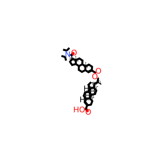 CC(C)N(C(=O)[C@@H]1CCC2C3CCC4C=C(C(=O)OC[C@@H](C)[C@H]5CC[C@H]6[C@@H]7CC[C@H]8C=C(C(=O)O)CC[C@]8(C)[C@H]7CC[C@]56C)CC[C@]4(C)C3CC[C@@]21C)C(C)C